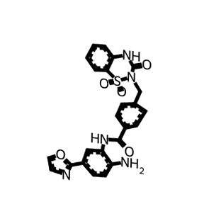 Nc1ccc(-c2ncco2)cc1NC(=O)c1ccc(CN2C(=O)Nc3ccccc3S2(=O)=O)cc1